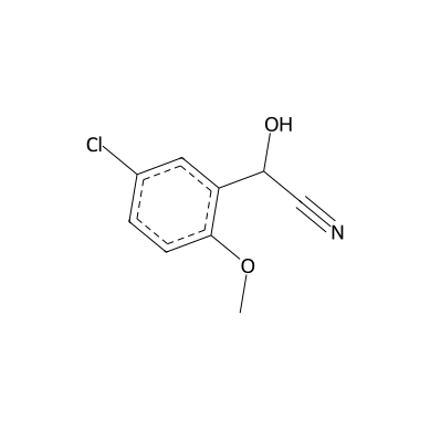 COc1ccc(Cl)cc1C(O)C#N